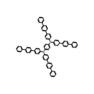 C1=CC(c2ccc(-c3ccccc3)cc2)CC=C1N(c1ccc(-c2ccc(-c3ccccc3)cc2)cc1)c1ccc(N(c2ccc(-c3ccc(-c4ccccc4)cc3)cc2)c2ccc(-c3ccc(-c4ccccc4)cc3)cc2)cc1